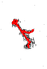 C/C1=C/c2ccccc2N(C(=O)CCC(=O)NCCOCCOCCOCCOCCC(=O)NC(CCC(=O)NCCCCCC(=O)N[C@@H](CCC(=O)N[C@H](C)CCCOP(=O)(O)N[C@@H](CCC(=O)O)C(=O)O)C(=O)O)C(=O)NC(CCCCNC(=O)CCCc2ccc(I)cc2)C(=O)O)Cc2ccccc21